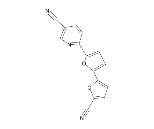 N#Cc1ccc(-c2ccc(-c3ccc(C#N)o3)o2)nc1